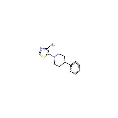 CC(C)(C)c1n[c]sc1N1CCC(c2ccccc2)CC1